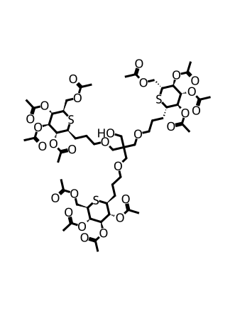 CC(=O)OC[C@H]1S[C@@H](CCCOCC(CO)(COCCC[C@@H]2S[C@H](COC(C)=O)[C@@H](OC(C)=O)[C@H](OC(C)=O)[C@H]2OC(C)=O)COCCC[C@@H]2S[C@H](COC(C)=O)[C@@H](OC(C)=O)[C@H](OC(C)=O)[C@H]2OC(C)=O)[C@H](OC(C)=O)[C@@H](OC(C)=O)[C@@H]1OC(C)=O